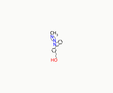 CCN1CCN(c2nc(-c3cccc(CCCO)c3)cc3ccccc23)CC1